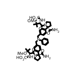 COC(C)(C)[C@H](NC(=O)O)C(=O)N1CCC[C@@]1(C(N)=O)c1ccc(CN(Cc2ccc([C@]3(C(N)=O)CCCN3C(=O)[C@@H](NC(=O)O)C(C)(C)OC)cc2)c2ccccc2)cc1